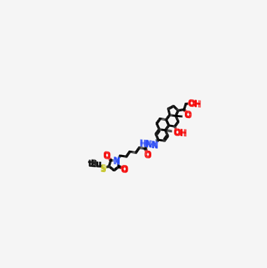 CC(C)(C)SC1CC(=O)N(CCCCCC(=O)NN=C2C=CC3(C)C(=C2)CCC2C3C(O)CC3(C)C(C(=O)CO)CCC23)C1=O